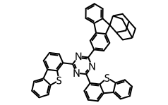 c1ccc2c(c1)-c1cc(-c3nc(-c4cccc5c4sc4ccccc45)nc(-c4cccc5c4sc4ccccc45)n3)ccc1C21C2CC3CC(C2)CC1C3